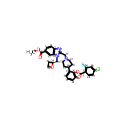 COC(=O)c1ccc2nc(CN3CCC(c4cccc5c4OC(c4ccc(Cl)cc4F)O5)CC3)n(C[C@@H]3CCO3)c2c1